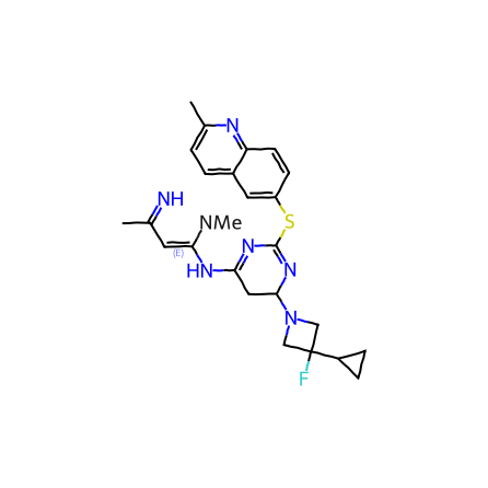 CN/C(=C\C(C)=N)NC1=NC(Sc2ccc3nc(C)ccc3c2)=NC(N2CC(F)(C3CC3)C2)C1